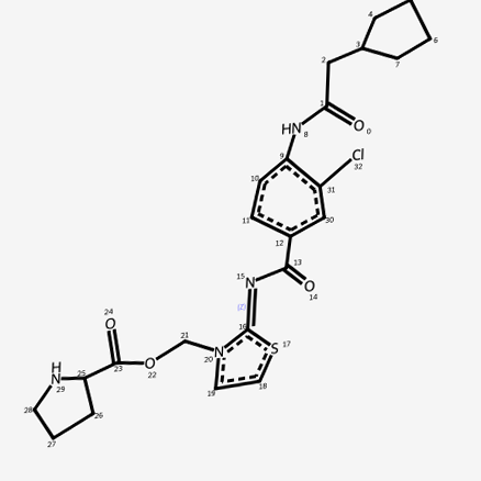 O=C(CC1CCCC1)Nc1ccc(C(=O)/N=c2\sccn2COC(=O)C2CCCN2)cc1Cl